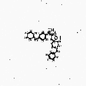 CN(C(=O)CC1(O)CCN(Cc2ccccc2)CC1)c1ccc(OC2CCCCC2)cc1